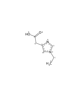 CCn1cnc(CC(=O)O)c1